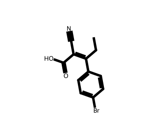 CCC(=C(C#N)C(=O)O)c1ccc(Br)cc1